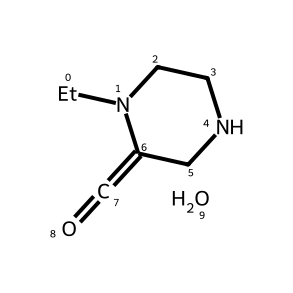 CCN1CCNCC1=C=O.O